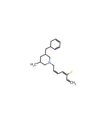 C=C/C(F)=C\C=C/CN1CC(C)CC(CC2C=CC=CC2)C1